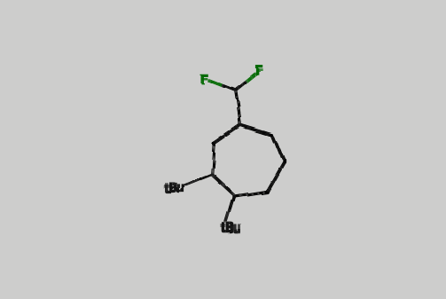 CC(C)(C)C1CCCC(C(F)F)CC1C(C)(C)C